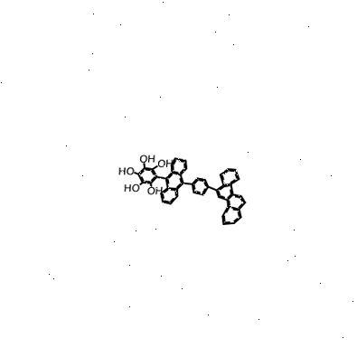 Oc1c(O)c(O)c(-c2c3ccccc3c(-c3ccc(-c4cc5c6ccccc6ccc5c5ccccc45)cc3)c3ccccc23)c(O)c1O